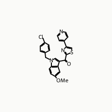 COc1ccc2c(c1)c(C(=O)c1nc(-c3ccncc3)cs1)cn2Cc1ccc(Cl)cc1